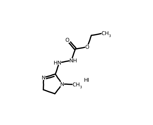 CCOC(=O)NNC1=NCCN1C.I